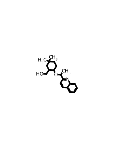 CC(OC1CCC(C)(C)CC1CO)c1ccc2ccccc2n1